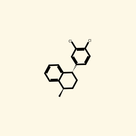 C[C@@H]1CC[C@@H](c2ccc(Cl)c(Cl)c2)c2ccccc21